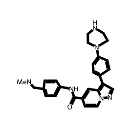 CNCc1ccc(NC(=O)c2ccn3ncc(-c4ccc(N5CCNCC5)cc4)c3c2)cc1